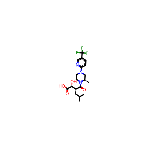 CC(C)C[C@H](C(=O)N1CCN(c2ccc(C(F)(F)F)cn2)C[C@H]1C)[C@H](O)C(=O)O